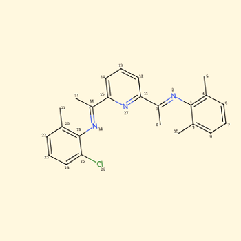 CC(=Nc1c(C)cccc1C)c1cccc(C(C)=Nc2c(C)cccc2Cl)n1